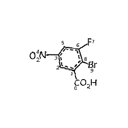 O=C(O)c1cc([N+](=O)[O-])cc(F)c1Br